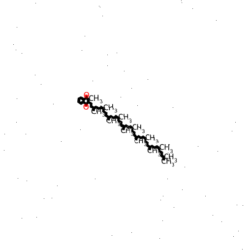 CC(C)=CCCC(C)=CCCC(C)=CCCC(C)=CCCC(C)=CCCC(C)=CCCC(C)=CCCC(C)=CCCC(C)=CCCC(C)=CCCC(C)=CCC1=C(C)C(=O)c2ccccc2C1=O